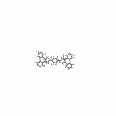 c1ccc(-c2nc(-c3ccc(-c4nc(-c5ccccc5)c(-c5ccccc5)[nH]4)cc3)[nH]c2-c2ccccc2)cc1